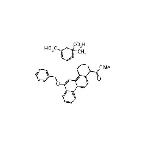 CC1(C(=O)O)C=CC=C(C(=O)O)C1.COC(=O)C1CCCc2c1ccc1c2cc(OCc2ccccc2)c2ccccc21